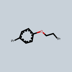 CC(C)CCOc1ccc(C(C)C)cc1